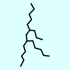 CCCCCC([CH]C(CCCCC)CCCCC)CCC